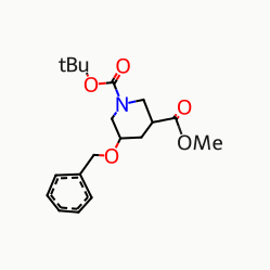 COC(=O)C1CC(OCc2ccccc2)CN(C(=O)OC(C)(C)C)C1